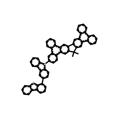 CC1(C)c2cc3c4ccccc4c4ccccc4c3cc2-c2cc3c4ccccc4c4cc(-n5c6ccccc6c6cc(-c7cccc8c7sc7ccccc78)ccc65)ccc4c3cc21